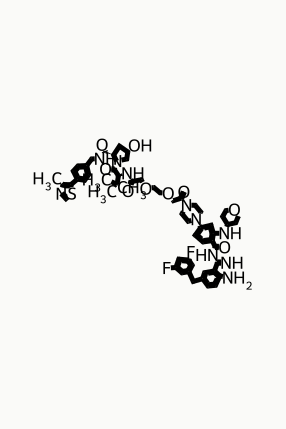 Cc1ncsc1-c1ccc(CNC(=O)[C@@H]2C[C@@H](O)CN2C(=O)[C@@H](NC(=O)COCCOCC(=O)N2CCN(c3ccc(C(=O)NC(=N)c4cc(Cc5cc(F)cc(F)c5)ccc4N)c(NC4CCOCC4)c3)CC2)C(C)(C)C)cc1